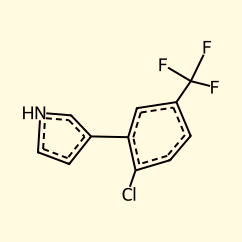 FC(F)(F)c1ccc(Cl)c(-c2cc[nH]c2)c1